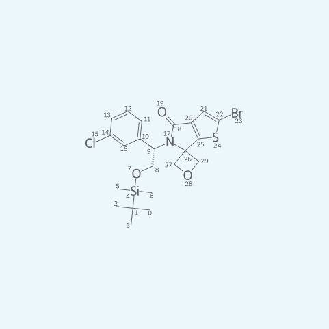 CC(C)(C)[Si](C)(C)OC[C@H](c1cccc(Cl)c1)N1C(=O)c2cc(Br)sc2C12COC2